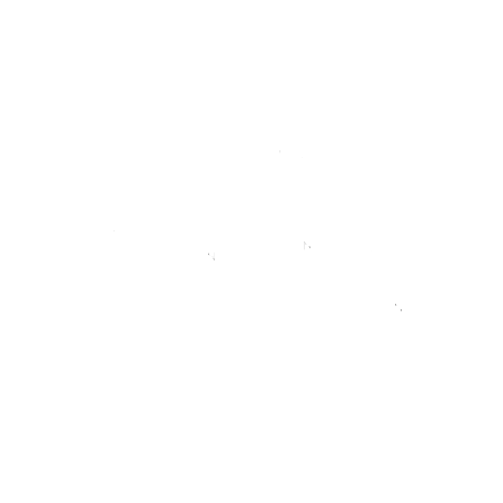 CCCN(CCC)CCN(CCC)C1CC[N]CC1